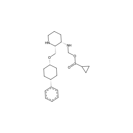 O=S(OCN[C@H]1CCCN[C@H]1CO[C@H]1CC[C@@H](c2ccccc2)CC1)C1CC1